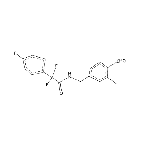 Cc1cc(CNC(=O)C(F)(F)c2ccc(F)cc2)ccc1C=O